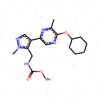 CCCCOC(=O)NCc1c(-c2cnc(OC3CCCCC3)c(C)n2)cnn1C